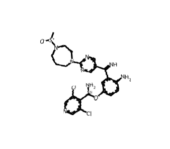 C[S+]([O-])N1CCCN(c2ncc(C(=N)c3cc(O[C@H](N)c4c(Cl)cncc4Cl)ccc3N)cn2)CC1